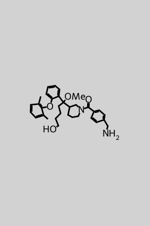 COC(CCCCO)(c1ccccc1Oc1c(C)cccc1C)C1CCCN(C(=O)c2ccc(CN)cc2)C1